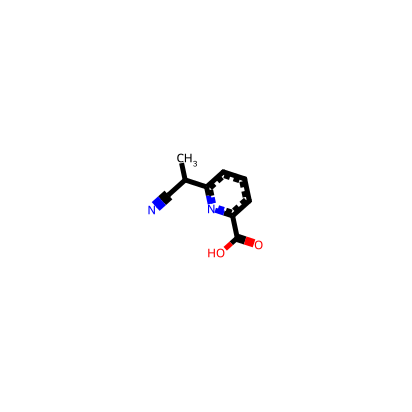 CC(C#N)c1cccc(C(=O)O)n1